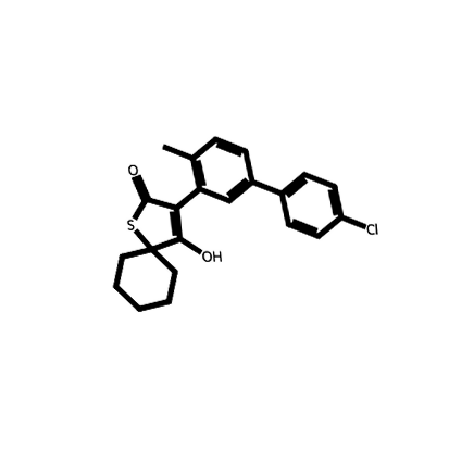 Cc1ccc(-c2ccc(Cl)cc2)cc1C1=C(O)C2(CCCCC2)SC1=O